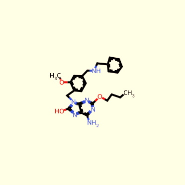 CCCCOc1nc(N)c2nc(O)n(Cc3ccc(CNCc4ccccc4)cc3OC)c2n1